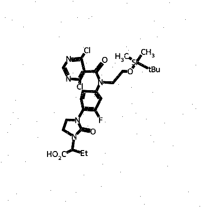 CCC(C(=O)O)N1CCN(c2ccc(N(CCO[Si](C)(C)C(C)(C)C)C(=O)c3c(Cl)ncnc3Cl)cc2F)C1=O